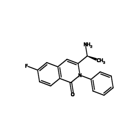 C[C@H](N)c1cc2cc(F)ccc2c(=O)n1-c1ccccc1